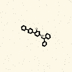 [O]c1cc(NCC(c2ccccc2)c2ccccc2)ccc1-c1ccc(-c2ccccc2)cc1